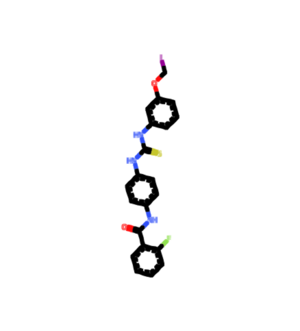 O=C(Nc1ccc(NC(=S)Nc2cccc(OCI)c2)cc1)c1ccccc1F